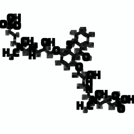 C[N+](C)(CCCS(=O)(=O)O)CNCC(O)COc1ccc(OCC(O)CNC[N+](C)(C)CCCS(=O)(=O)O)c2c(=O)c3ccccc3sc12